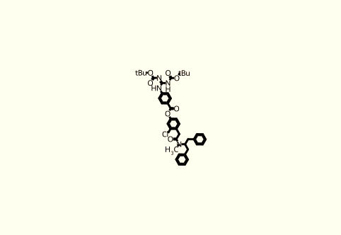 CN(C(=O)Cc1ccc(OC(=O)c2ccc(N/C(=N\C(=O)OC(C)(C)C)NC(=O)OC(C)(C)C)cc2)cc1Cl)C(Cc1ccccc1)Cc1ccccc1